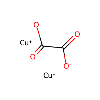 O=C([O-])C(=O)[O-].[Cu+].[Cu+]